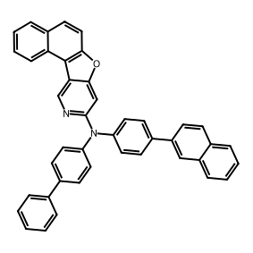 c1ccc(-c2ccc(N(c3ccc(-c4ccc5ccccc5c4)cc3)c3cc4oc5ccc6ccccc6c5c4cn3)cc2)cc1